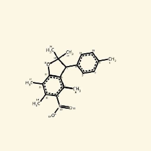 Cc1ccc(C2c3c(C)c([N+](=O)[O-])c(C)c(C)c3OC2(C)C)cc1